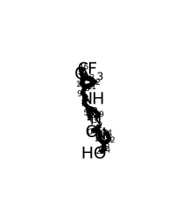 O=C(CN1CC2C(CNCc3cccc(OC(F)(F)F)c3)C2C1)N1CCC(CO)C1